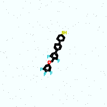 Fc1cc(OCc2c(F)cc(-c3ccc(C4CCC(S)CC4)cc3)cc2F)cc(F)c1F